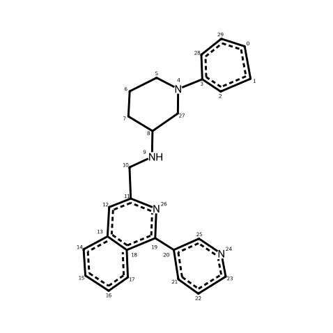 c1ccc(N2CCCC(NCc3cc4ccccc4c(-c4cccnc4)n3)C2)cc1